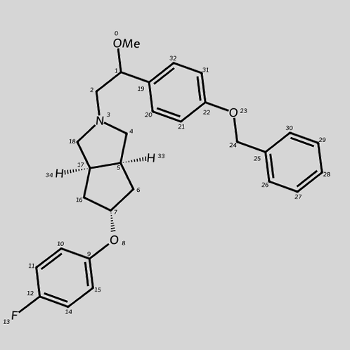 COC(CN1C[C@H]2C[C@H](Oc3ccc(F)cc3)C[C@H]2C1)c1ccc(OCc2ccccc2)cc1